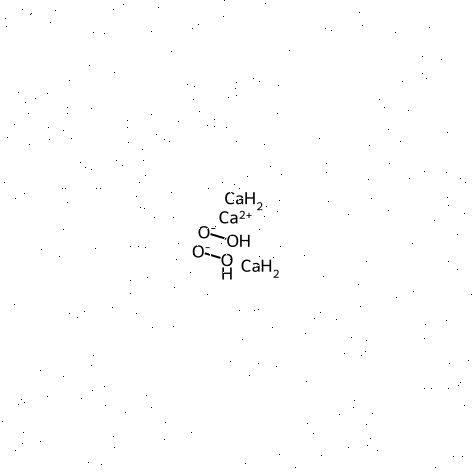 [Ca+2].[CaH2].[CaH2].[O-]O.[O-]O